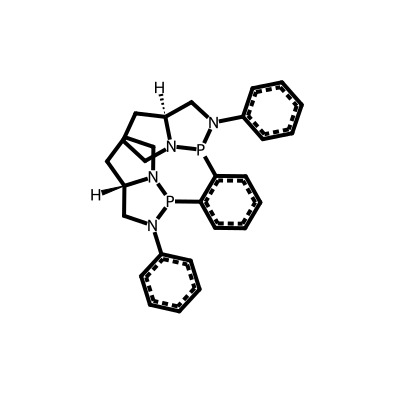 c1ccc(N2C[C@@H]3CCCN3P2c2ccccc2P2N(c3ccccc3)C[C@@H]3CCCN32)cc1